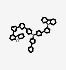 c1ccc(-c2ccc(N(c3ccc(-c4cccc(-c5cccc(-c6cccc7oc8ccccc8c67)c5)c4)cc3)c3ccc(-c4cccc(-n5c6ccccc6c6ccccc65)c4)cc3)cc2)cc1